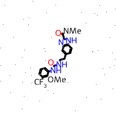 CNC(=O)c1nc2cc(CCNC(=O)Nc3cccc(C(F)(F)F)c3OC)ccc2[nH]1